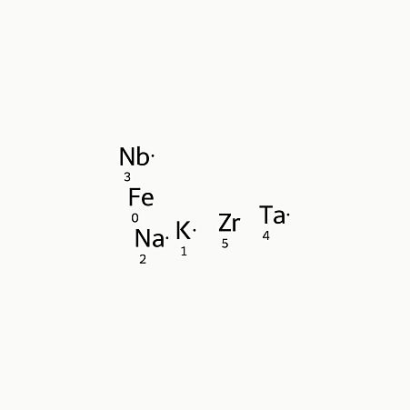 [Fe].[K].[Na].[Nb].[Ta].[Zr]